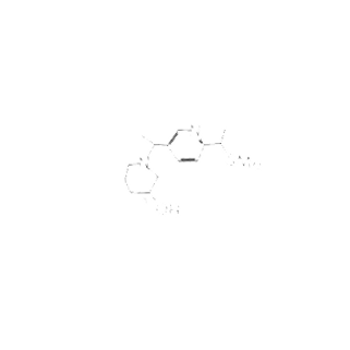 CSC(C)c1ccc(C(C)N2CCC[C@H](O)C2)cn1